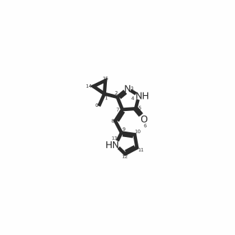 CC1(C2=NNC(=O)C2=Cc2ccc[nH]2)CC1